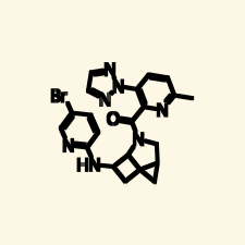 Cc1ccc(-n2nccn2)c(C(=O)N2CC3CC34CC(Nc3ccc(Br)cn3)C24)n1